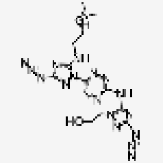 C[SiH](C)OCCNc1nc(N=[N+]=[N-])nn1-c1nnc(Nc2nc(N=[N+]=[N-])nn2CCO)nn1